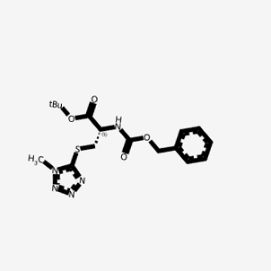 Cn1nnnc1SC[C@@H](NC(=O)OCc1ccccc1)C(=O)OC(C)(C)C